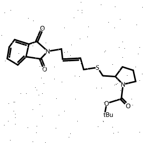 CC(C)(C)OC(=O)N1CCCC1CSCC=CCN1C(=O)c2ccccc2C1=O